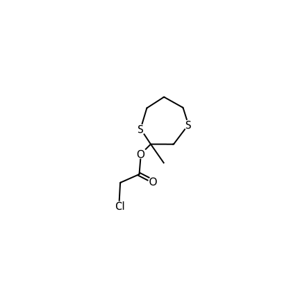 CC1(OC(=O)CCl)CSCCCS1